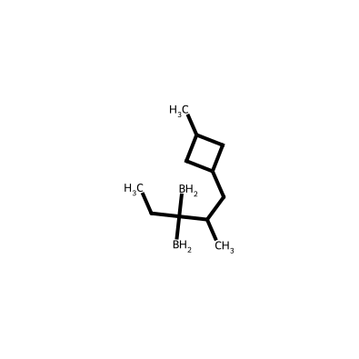 BC(B)(CC)C(C)CC1CC(C)C1